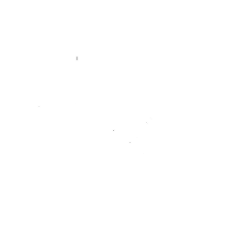 [2H]Cc1cc(Br)cc2c1OC(O)(C(F)(F)F)C(C(=O)OCC)=C2